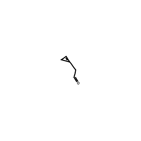 O=[C]CC1=CC1